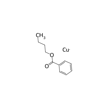 CCCCOC(=O)c1ccccc1.[Cu]